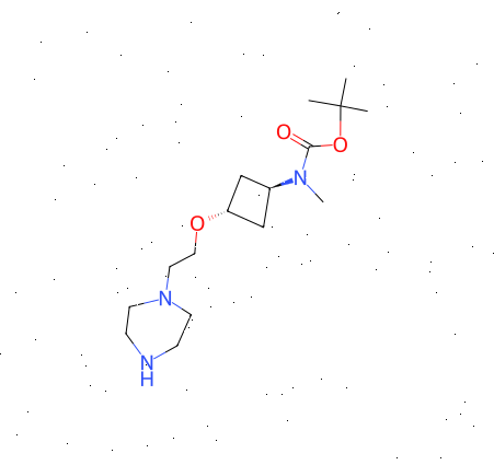 CN(C(=O)OC(C)(C)C)[C@H]1C[C@H](OCCN2CCNCC2)C1